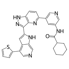 O=C(Nc1cncc(-c2ccc3[nH]nc(-c4cc5c(-c6cccs6)cncc5[nH]4)c3n2)c1)C1CCCCC1